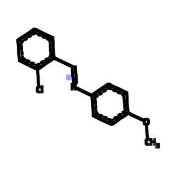 COc1ccc(/N=C/c2ccccc2Cl)cc1